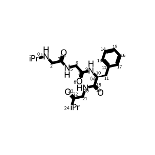 CC(C)NCC(=O)NCC(=O)N[C@@H](Cc1ccccc1)C(=O)NCC(=O)C(C)C